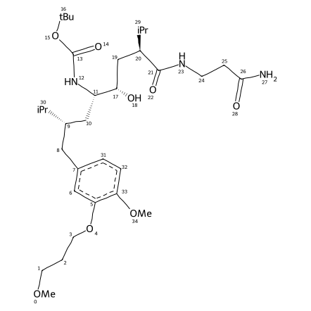 COCCCOc1cc(C[C@@H](C[C@H](NC(=O)OC(C)(C)C)[C@@H](O)C[C@H](C(=O)NCCC(N)=O)C(C)C)C(C)C)ccc1OC